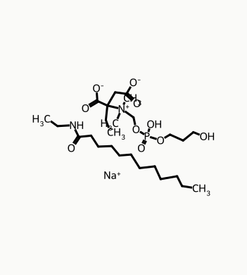 CCC(CC(=O)[O-])(C(=O)[O-])[N+](C)(C)COP(=O)(O)OCCCO.CCCCCCCCCCCC(=O)NCC.[Na+]